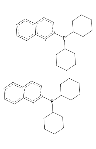 [c]1c(P(C2CCCCC2)C2CCCCC2)ccc2ccccc12.[c]1c(P(C2CCCCC2)C2CCCCC2)ccc2ccccc12